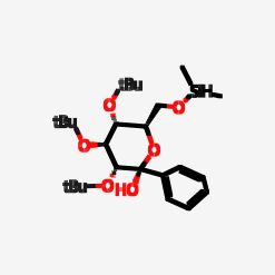 C[SiH](C)OC[C@H]1O[C@](O)(c2ccccc2)[C@H](OC(C)(C)C)[C@@H](OC(C)(C)C)[C@@H]1OC(C)(C)C